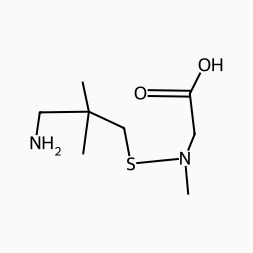 CN(CC(=O)O)SCC(C)(C)CN